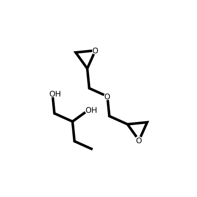 C(OCC1CO1)C1CO1.CCC(O)CO